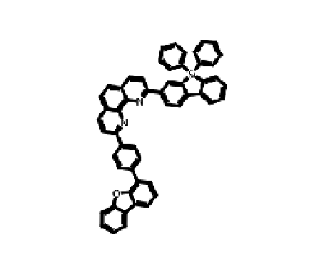 c1ccc([Si]2(c3ccccc3)c3ccccc3-c3ccc(-c4ccc5ccc6ccc(-c7ccc(-c8cccc9c8oc8ccccc89)cc7)nc6c5n4)cc32)cc1